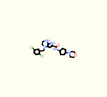 O=C(Nc1ccc(N2CCOCC2)cc1)c1cc2c([nH]1)NCCN2Cc1cc(Cl)ccc1Cl